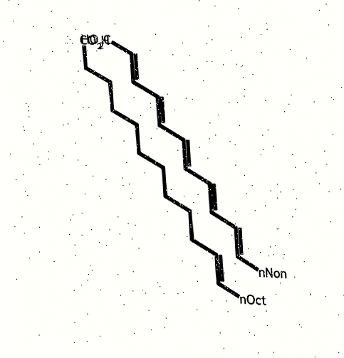 CCCCCCCCC=CCCCCCCCCCC(=O)O.CCCCCCCCCC=CC=CC=CC=CC=CC(=O)O